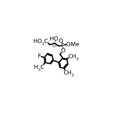 COP(=O)(C[C@@H](O)CC(=O)O)OCc1c(C)cc(C)cc1-c1ccc(F)c(C)c1